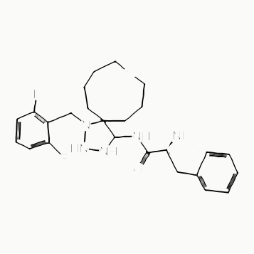 N[C@@H](Cc1ccccc1)C(=O)NC1NNN(Cc2c(F)cccc2F)C12CCCCCCCC2